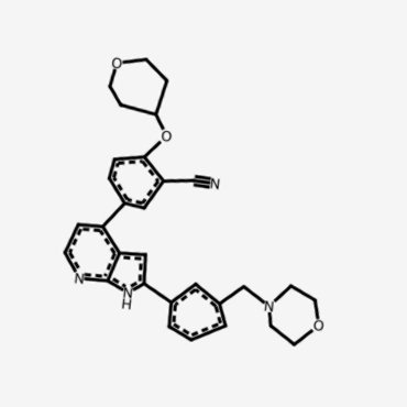 N#Cc1cc(-c2ccnc3[nH]c(-c4cccc(CN5CCOCC5)c4)cc23)ccc1OC1CCOCC1